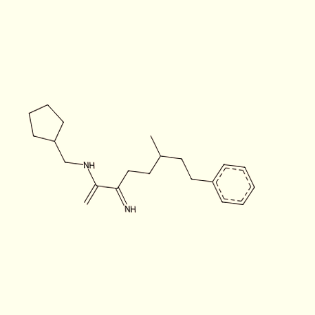 C=C(NCC1CCCC1)C(=N)CCC(C)CCc1ccccc1